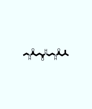 CCNC(=O)CCC(=O)NCCNC(=O)CC(C)C